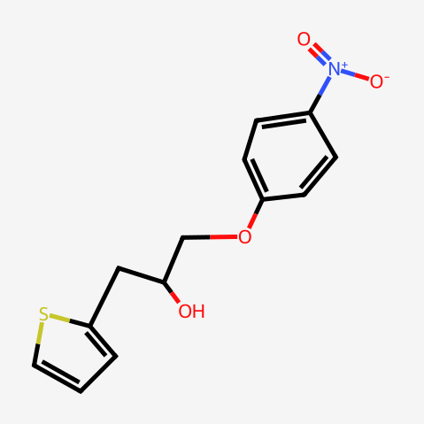 O=[N+]([O-])c1ccc(OCC(O)Cc2cccs2)cc1